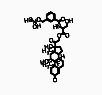 C[C@]12C=CC(=O)C=C1CC[C@H]1C3CCC(O)(C(=O)COC(=O)C(CO)NC(=O)c4cccc(CON(O)O)c4)[C@@]3(C)C[C@H](O)C12F